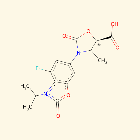 CC1[C@H](C(=O)O)OC(=O)N1c1cc(F)c2c(c1)oc(=O)n2C(C)C